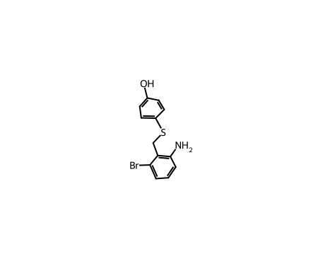 Nc1cccc(Br)c1CSc1ccc(O)cc1